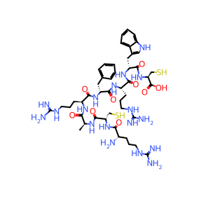 C[C@H](NC(=O)[C@H](CS)NC(=O)[C@@H](N)CCCNC(=N)N)C(=O)N[C@@H](CCCNC(=N)N)C(=O)N[C@H](Cc1ccccc1)C(=O)N[C@@H](CCCNC(=N)N)C(=O)N[C@H](Cc1c[nH]c2ccccc12)C(=O)N[C@@H](CS)C(=O)O